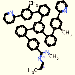 C=N/C(=N\C=C/C)c1ccc(-c2ccccc2-c2cc(-c3ccccc3-c3ccc(-c4ccccn4)cc3C)cc(-c3ccccc3-c3ccc(-c4ccccn4)cc3C)c2)cc1